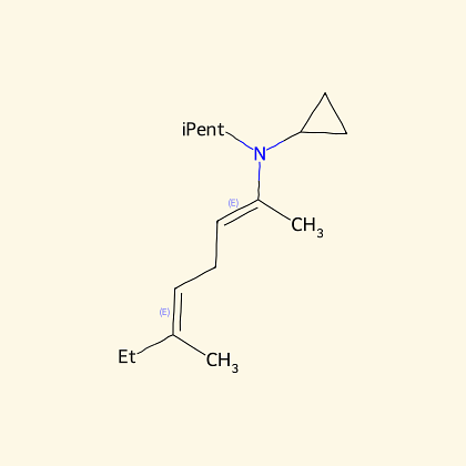 CCCC(C)N(/C(C)=C/C/C=C(\C)CC)C1CC1